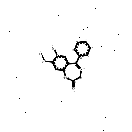 CCOc1cc2c(cc1Br)C(c1ccccc1)=NCC(=O)N2